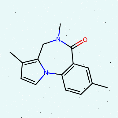 Cc1ccc2c(c1)C(=O)N(C)Cc1c(C)ccn1-2